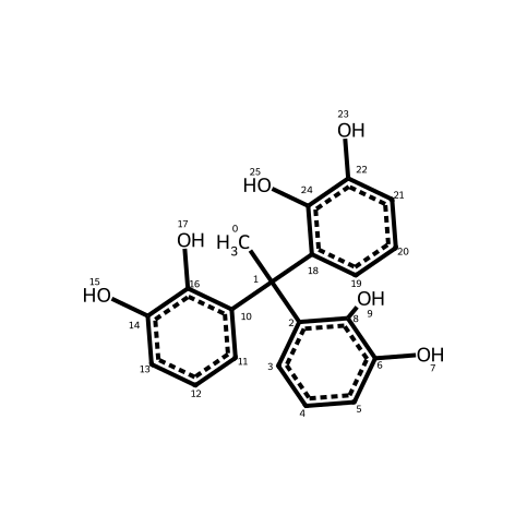 CC(c1cccc(O)c1O)(c1cccc(O)c1O)c1cccc(O)c1O